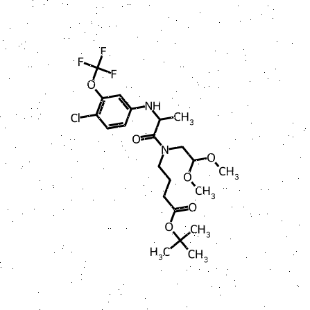 COC(CN(CCCC(=O)OC(C)(C)C)C(=O)C(C)Nc1ccc(Cl)c(OC(F)(F)F)c1)OC